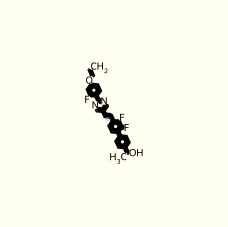 C=CCOc1ccc(-c2ncc(/C=C/c3ccc(-c4ccc(C(C)O)cc4)c(F)c3F)cn2)c(F)c1